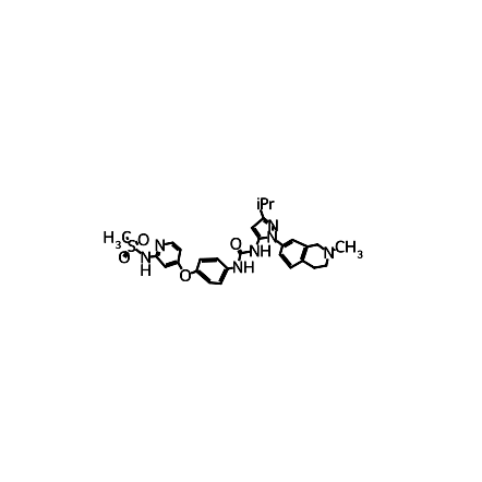 CC(C)c1cc(NC(=O)Nc2ccc(Oc3ccnc(NS(C)(=O)=O)c3)cc2)n(-c2ccc3c(c2)CN(C)CC3)n1